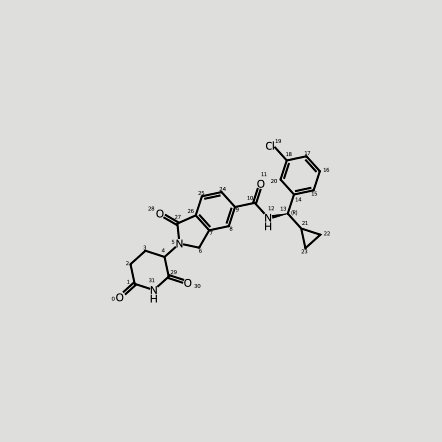 O=C1CCC(N2Cc3cc(C(=O)N[C@@H](c4cccc(Cl)c4)C4CC4)ccc3C2=O)C(=O)N1